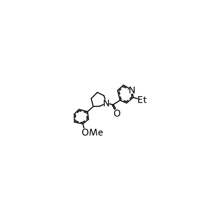 CCc1cc(C(=O)N2CCCC(c3cccc(OC)c3)C2)ccn1